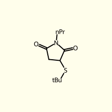 CCCN1C(=O)CC(SC(C)(C)C)C1=O